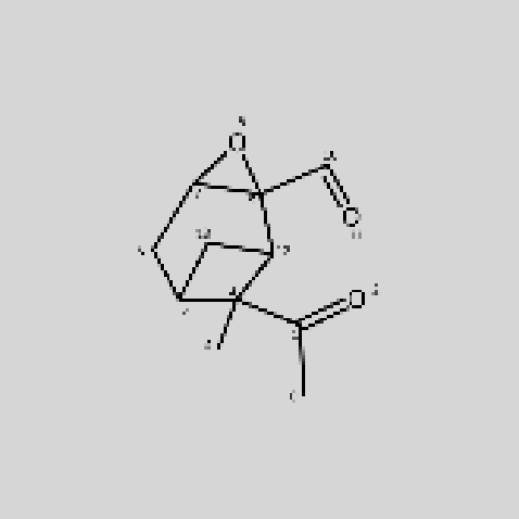 CC(=O)C1(C)C2CC3OC3(C=O)C1C2